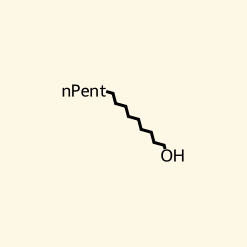 [CH2]CCCCCCCCCCCCCO